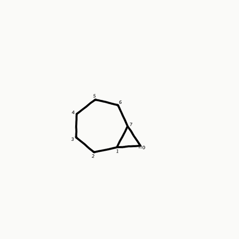 [C]1C2CCCCCC12